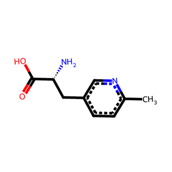 Cc1ccc(C[C@@H](N)C(=O)O)cn1